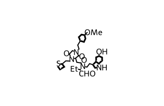 CCC(C=O)N(CCc1c[nH]c2ccc(O)cc12)C(=O)CC1C(=O)N(CCc2ccc(OC)cc2)CC(=O)N1CCc1cccs1